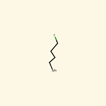 CCC[CH]CCCF